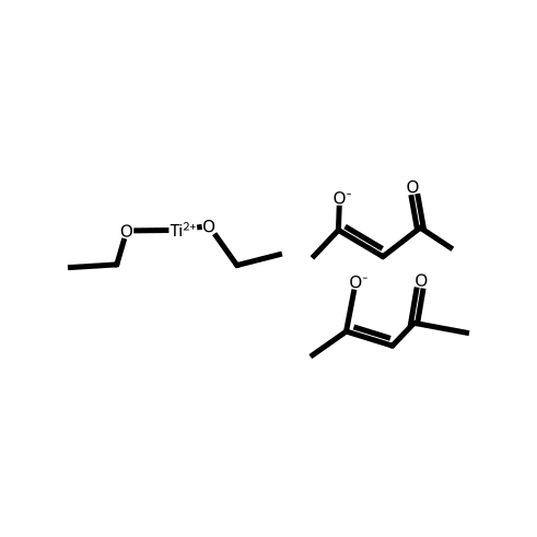 CC(=O)/C=C(/C)[O-].CC(=O)/C=C(/C)[O-].CC[O][Ti+2][O]CC